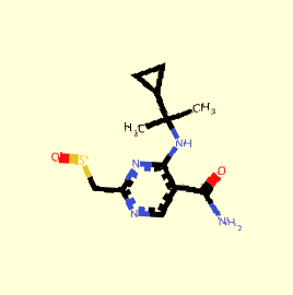 CC(C)(Nc1nc(C[S+]=O)ncc1C(N)=O)C1CC1